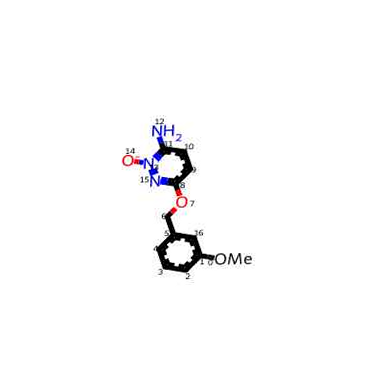 COc1cccc(COc2ccc(N)[n+]([O-])n2)c1